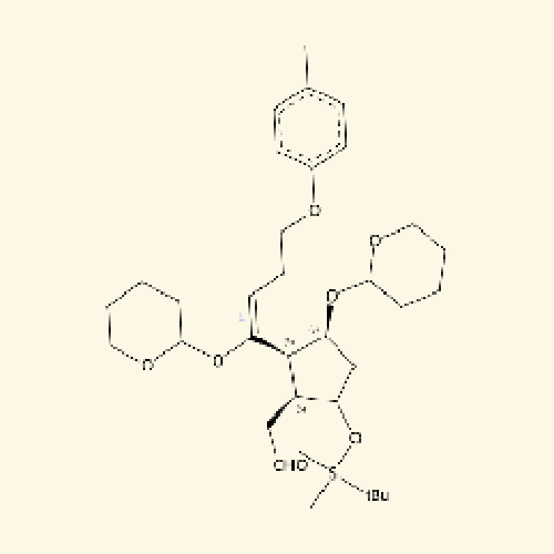 Cc1ccc(OCC/C=C(/OC2CCCCO2)[C@H]2[C@@H](OC3CCCCO3)CC(O[Si](C)(C)C(C)(C)C)[C@H]2CC=O)cc1